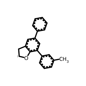 Cc1cccc(-c2cc(-c3ccccc3)cc3c2O[C]C3)c1